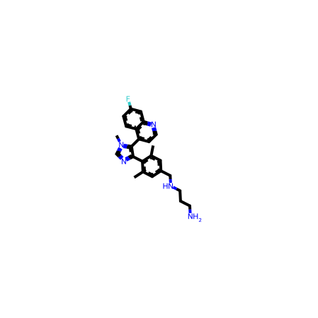 Cc1cc(CNCCCN)cc(C)c1-c1ncn(C)c1-c1ccnc2cc(F)ccc12